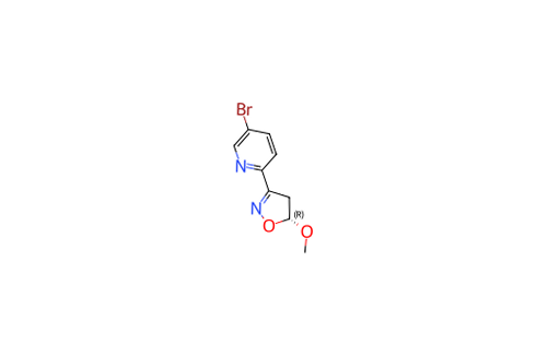 CO[C@H]1CC(c2ccc(Br)cn2)=NO1